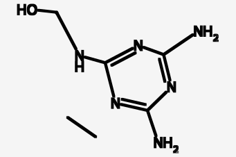 CC.Nc1nc(N)nc(NCO)n1